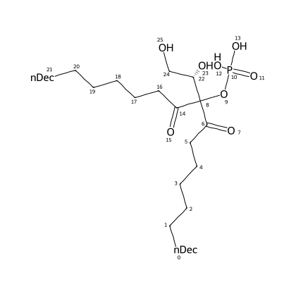 CCCCCCCCCCCCCCCC(=O)C(OP(=O)(O)O)(C(=O)CCCCCCCCCCCCCCC)[C@@H](O)CO